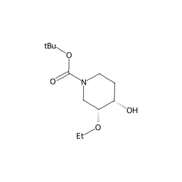 CCO[C@@H]1CN(C(=O)OC(C)(C)C)CC[C@@H]1O